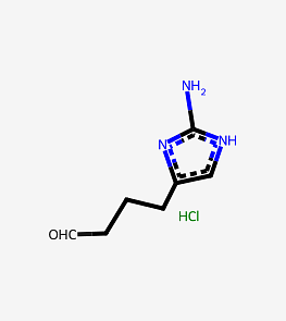 Cl.Nc1nc(CCCC=O)c[nH]1